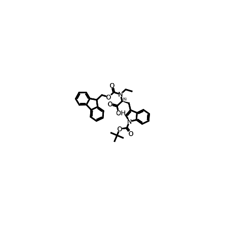 CCN(C(=O)OCC1c2ccccc2-c2ccccc21)[C@@H](Cc1cn(C(=O)OC(C)(C)C)c2ccccc12)C(=O)O